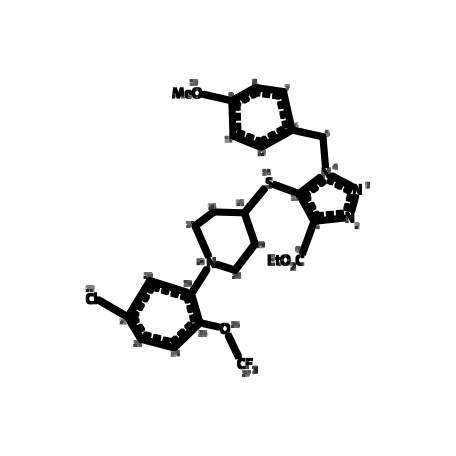 CCOC(=O)c1nnn(Cc2ccc(OC)cc2)c1SC1CCN(c2cc(Cl)ccc2OC(F)(F)F)CC1